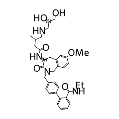 CCNC(=O)c1ccccc1-c1ccc(CN2Cc3ccc(OC)cc3C[C@@H](NC(=O)CC(C)CNC[C@H](O)CO)C2=O)cc1